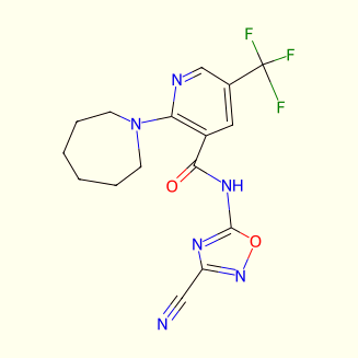 N#Cc1noc(NC(=O)c2cc(C(F)(F)F)cnc2N2CCCCCC2)n1